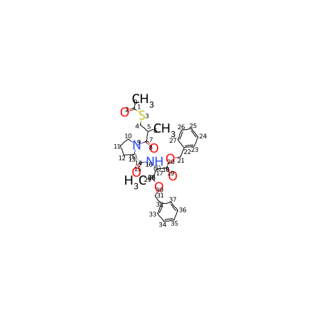 CC(=O)SCC(C)C(=O)N1CCC[C@H]1C(=O)N[C@H](C(=O)OCc1ccccc1)[C@@H](C)OCc1ccccc1